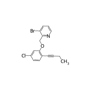 CCC#Cc1ccc(Cl)cc1OCc1ncccc1Br